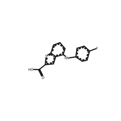 O=C(O)c1cc2c(Nc3ccc(F)cc3)cccc2s1